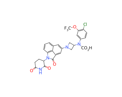 O=C1CCC(N2C(=O)c3cc(N4CC(N(C(=O)O)c5ccc(Cl)c(OC(F)(F)F)c5)C4)cc4cccc2c34)C(=O)N1